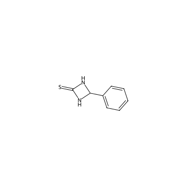 S=C1NC(c2ccccc2)N1